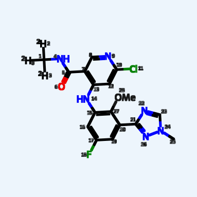 [2H]C([2H])([2H])NC(=O)c1cnc(Cl)cc1Nc1cc(F)cc(-c2ncn(C)n2)c1OC